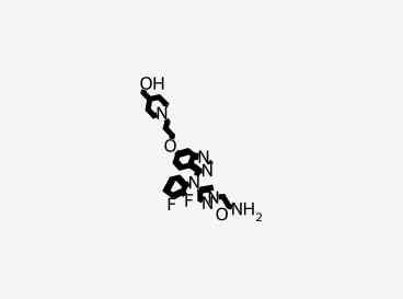 NC(=O)Cn1cc(N(c2cccc(F)c2F)c2ncnc3cc(OCCCN4CCC(CO)CC4)ccc23)cn1